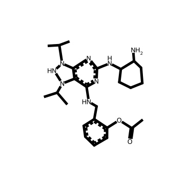 CC(=O)Oc1ccccc1CNc1nc(NC2CCCCC2N)nc2c1N(C(C)C)NN2C(C)C